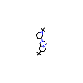 CN1CCC(C(C)(C)C)CC1CN(C)C1CCCN(C(C)(C)C)C1